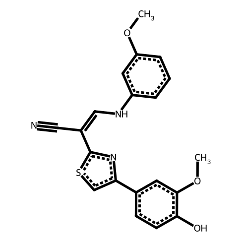 COc1cccc(NC=C(C#N)c2nc(-c3ccc(O)c(OC)c3)cs2)c1